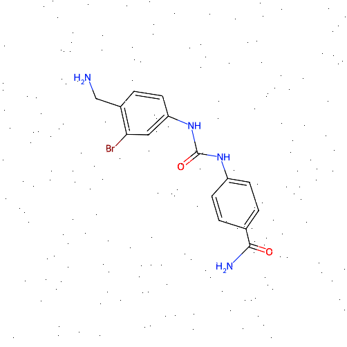 NCc1ccc(NC(=O)Nc2ccc(C(N)=O)cc2)cc1Br